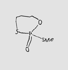 CSP1(=O)OCCS1